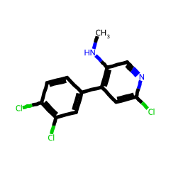 CNc1cnc(Cl)cc1-c1ccc(Cl)c(Cl)c1